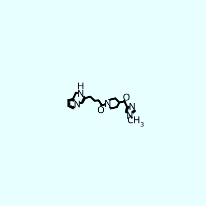 Cn1cnc(C(=O)C2CCN(C(=O)CCCC3=Cn4cccc4CN3)CC2)c1